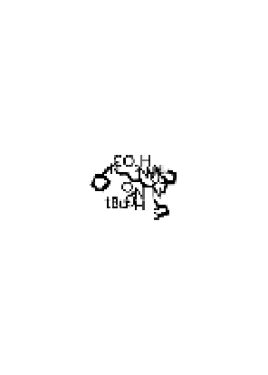 CC(C)(C)OC(=O)N[C@H](C(=O)N(Cc1cccs1)Cc1cccs1)C(CCCN(Cc1ccccc1)C(=O)O)N=[N+]=[N-]